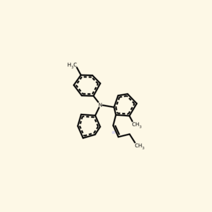 CC/C=C\c1c(C)cccc1N(c1ccccc1)c1ccc(C)cc1